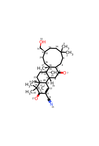 CC1(C)CCC2C(=O)C[C@@H]3[C@@]4(C)C=C(C#N)C(=O)C(C)(C)[C@@H]4CC[C@@]3(C)[C@]2(C)CC[C@@H](CO)CC1